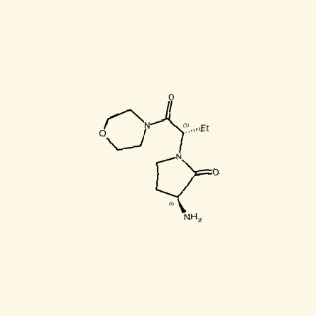 CC[C@@H](C(=O)N1CCOCC1)N1CC[C@H](N)C1=O